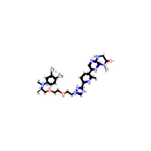 CCN1C(=O)CNc2ncc(-c3ccc(-c4ncn(CCOCCOC[C@@H](C)N(C)c5ccc(C#N)c(C(F)(F)F)c5)n4)nc3C)nc21